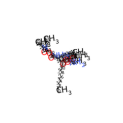 CCCCCCCCCCCCOc1cc(CNC(=O)COCC(=O)N(CCCC)CCCC)cc(CN(CCCC)C(=O)C(CCCC)(OC)C(N)=O)c1